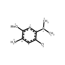 COc1nc(N(C)C)c(Cl)cc1N